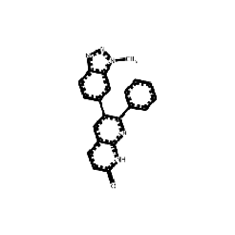 Cn1nnc2ccc(-c3cc4ccc(=O)[nH]c4nc3-c3ccccc3)cc21